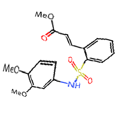 COC(=O)C=Cc1ccccc1S(=O)(=O)Nc1ccc(OC)c(OC)c1